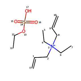 C=CC[N+](CC)(CC)CC=C.CCOS(=O)(=O)O